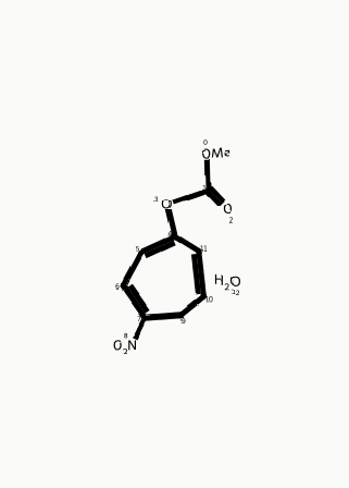 COC(=O)OC1=CC=C([N+](=O)[O-])CC=C1.O